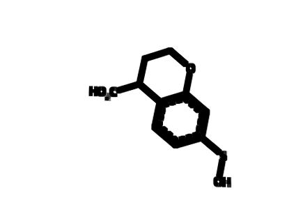 O=C(O)C1CCOc2cc(SO)ccc21